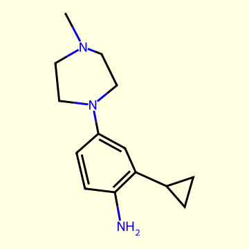 CN1CCN(c2ccc(N)c(C3CC3)c2)CC1